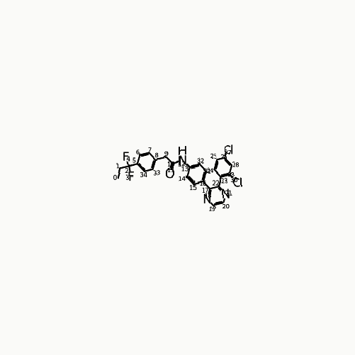 CCC(F)(F)c1ccc(CC(=O)Nc2ccc(-c3nccnc3-c3ccc(Cl)cc3Cl)cc2)cc1